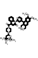 COc1cc2cc(CO)c(CO)c(-c3ccnc(-n4c(=O)cc(C(=O)N5CCN(C(CC(C)(C)C)O[SiH](C)C)CC5)c5ccccc54)c3)c2cc1OC